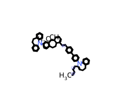 C/C=C\C=C/C1=CCCc2ccccc2N1c1ccc(-c2ccc(/C=C/C3=CC=CC4C3CCc3c#cc(N5c6ccccc6CCc6ccccc65)cc3C4(C)C)cc2)cc1